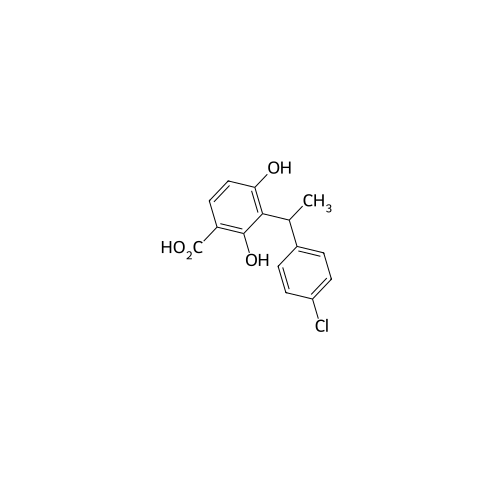 CC(c1ccc(Cl)cc1)c1c(O)ccc(C(=O)O)c1O